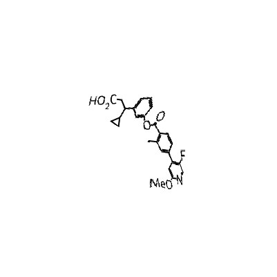 COc1cc(-c2ccc(C(=O)Oc3cccc(C(CC(=O)O)C4CC4)c3)c(C)c2)c(F)cn1